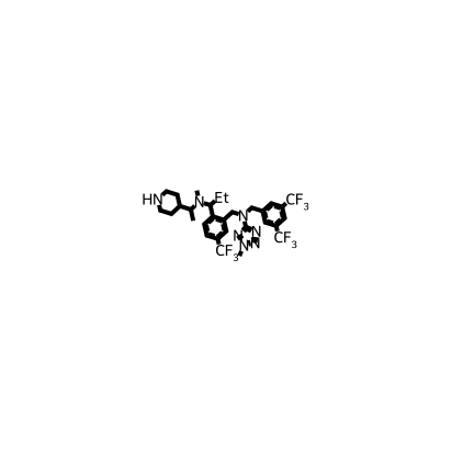 CCC(c1ccc(C(F)(F)F)cc1CN(Cc1cc(C(F)(F)F)cc(C(F)(F)F)c1)c1nnn(C)n1)N(C)C(C)C1CCNCC1